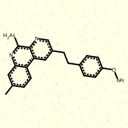 CCCOc1ccc(CCc2cnc3c([AsH2])nc4cc(C)ccc4c3c2)cc1